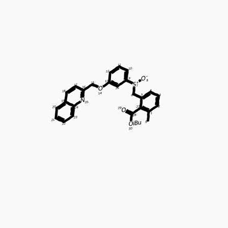 Cc1cccc(C[S+]([O-])c2cccc(OCc3ccc4ccccc4n3)c2)c1C(=O)OCC(C)C